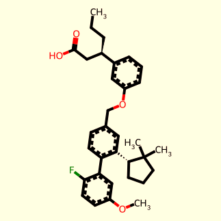 CCC[C@H](CC(=O)O)c1cccc(OCc2ccc(-c3cc(OC)ccc3F)c([C@H]3CCCC3(C)C)c2)c1